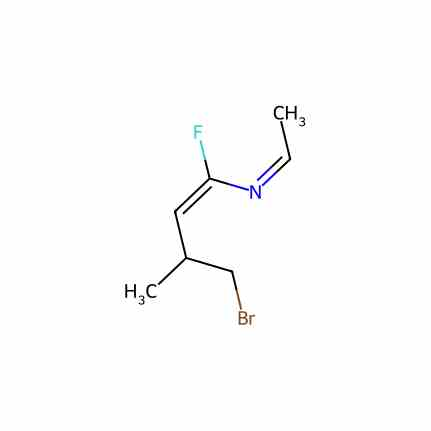 C/C=N\C(F)=C/C(C)CBr